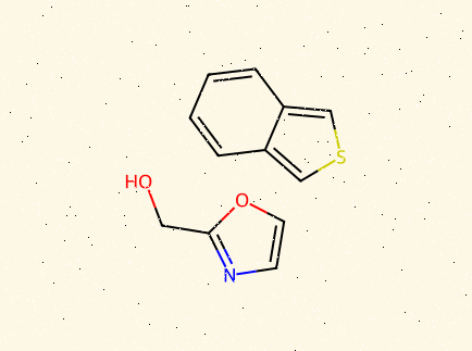 OCc1ncco1.c1ccc2cscc2c1